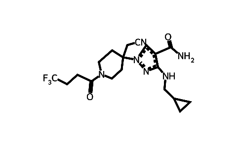 N#CCC1(n2cc(C(N)=O)c(NCC3CC3)n2)CCN(C(=O)CCC(F)(F)F)CC1